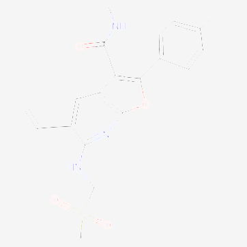 C=Cc1cc2c(C(=O)NC)c(-c3ccc(F)cc3)oc2nc1NCS(C)(=O)=O